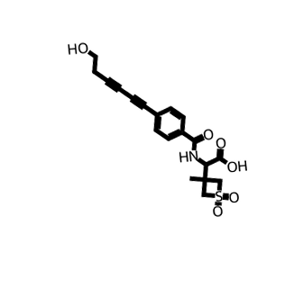 CC1(C(NC(=O)c2ccc(C#CC#CCCO)cc2)C(=O)O)CS(=O)(=O)C1